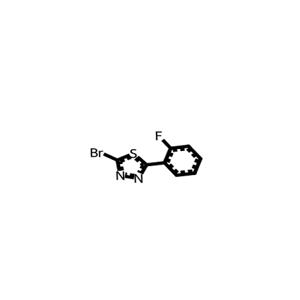 Fc1ccccc1-c1nnc(Br)s1